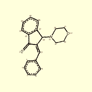 O=C1C(=Cc2ccccc2)C(N2CCOCC2)c2ccccc21